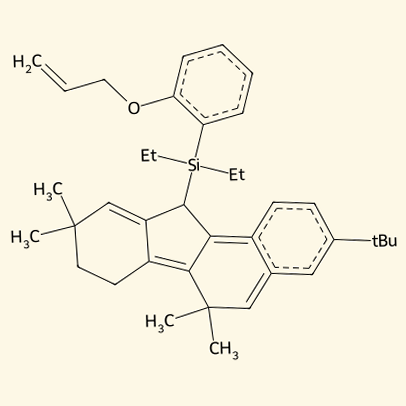 C=CCOc1ccccc1[Si](CC)(CC)C1C2=CC(C)(C)CCC2=C2C1=c1ccc(C(C)(C)C)cc1=CC2(C)C